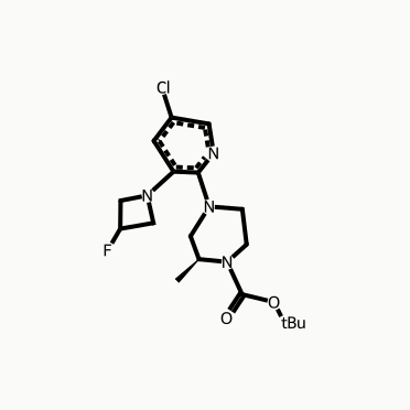 C[C@H]1CN(c2ncc(Cl)cc2N2CC(F)C2)CCN1C(=O)OC(C)(C)C